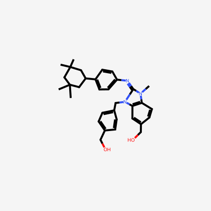 Cn1/c(=N/c2ccc(C3CC(C)(C)CC(C)(C)C3)cc2)n(Cc2ccc(CO)cc2)c2cc(CO)ccc21